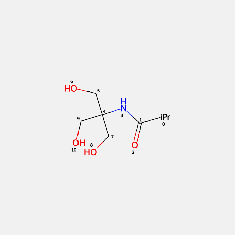 CC(C)C(=O)NC(CO)(CO)CO